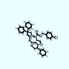 O=CCN(NCC(CCCN1CCC(c2ccccc2)CC1)(c1ccccc1)c1ccccc1)C(=O)OCc1ccc(Cl)cc1